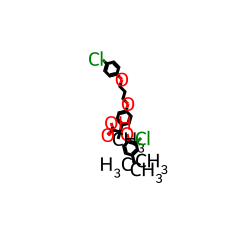 CC(C)(C)c1ccc(OC(C)(C(=O)O)c2ccc(OCCCOc3ccc(Cl)cc3)cc2)c(Cl)c1